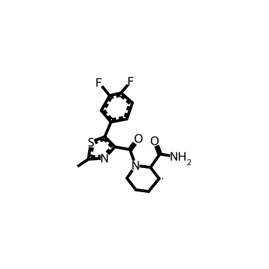 Cc1nc(C(=O)N2CCC[CH]C2C(N)=O)c(-c2ccc(F)c(F)c2)s1